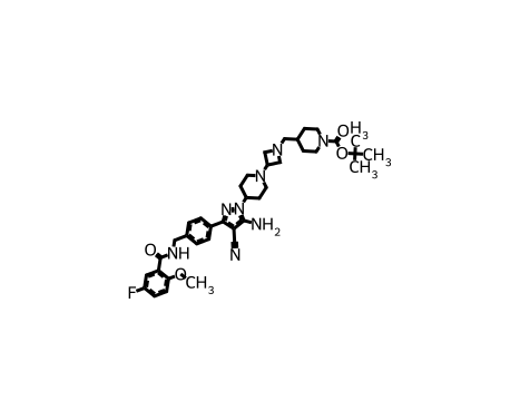 COc1ccc(F)cc1C(=O)NCc1ccc(-c2nn(C3CCN(C4CN(CC5CCN(C(=O)OC(C)(C)C)CC5)C4)CC3)c(N)c2C#N)cc1